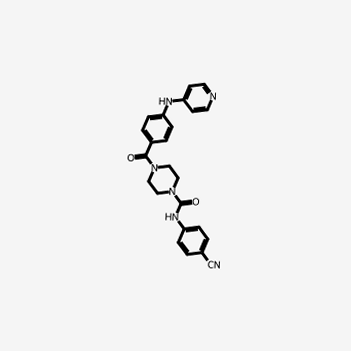 N#Cc1ccc(NC(=O)N2CCN(C(=O)c3ccc(Nc4ccncc4)cc3)CC2)cc1